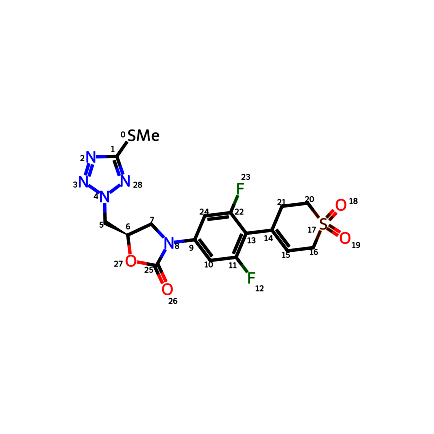 CSc1nnn(C[C@H]2CN(c3cc(F)c(C4=CCS(=O)(=O)CC4)c(F)c3)C(=O)O2)n1